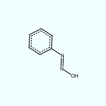 ON=Nc1cc[c]cc1